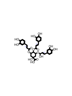 O=C(/C=C/c1ccc(O)c(O)c1)OC1CC(O)(C(=O)O)CC(OC(O)/C=C/c2ccc(O)c(O)c2)C1OC(=O)/C=C/c1ccc(O)c(O)c1